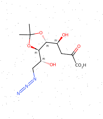 CC1(C)O[C@H]([C@H](O)CN=[N+]=[N-])[C@@H]([C@@H](O)CC(=O)C(=O)O)O1